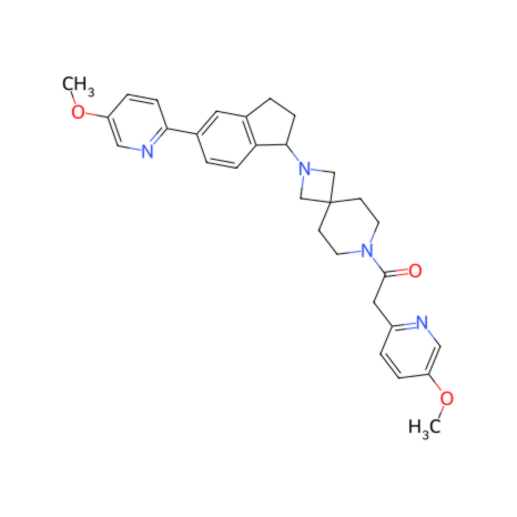 COc1ccc(CC(=O)N2CCC3(CC2)CN(C2CCc4cc(-c5ccc(OC)cn5)ccc42)C3)nc1